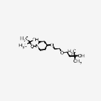 CC(C)(O)CCOCCOC1CCN(OC(C)(C)C)CC1